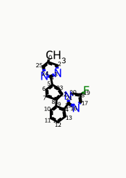 Cc1cnc(-c2ccc(-c3cc[c]cc3-c3ncc(F)cn3)cc2)nc1